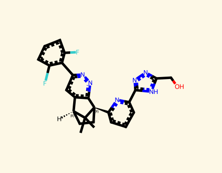 CC1(C)[C@H]2CC[C@@]1(c1cccc(-c3nnc(CO)[nH]3)n1)c1nnc(-c3c(F)cccc3F)cc12